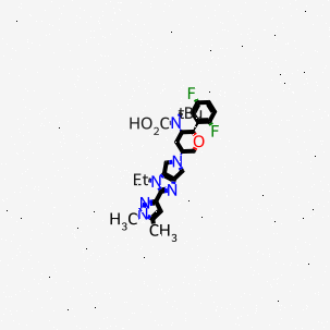 CCn1c(-c2cc(C)n(C)n2)nc2c1CN([C@H]1CO[C@H](c3cc(F)ccc3F)[C@@H](N(C(=O)O)C(C)(C)C)C1)C2